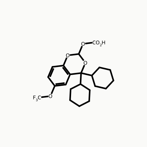 O=C(O)OC1Oc2ccc(OC(F)(F)F)cc2C(C2CCCCC2)(C2CCCCC2)O1